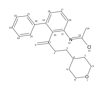 C=C(CCC1CCOCC1)c1c(/N=C(\C)Cl)cccc1-c1ccccc1